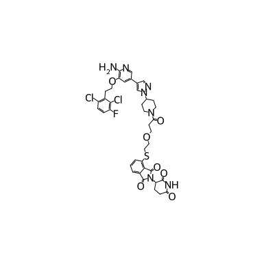 Nc1ncc(-c2cnn(C3CCN(C(=O)CCOCCSc4cccc5c4C(=O)N([C@@H]4CCC(=O)NC4=O)C5=O)CC3)c2)cc1OCCc1c(Cl)ccc(F)c1Cl